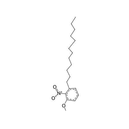 CCCCCCCCCCCCc1cccc(OC)c1[N+](=O)[O-]